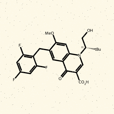 COc1cc2c(cc1Cc1c(F)cc(F)cc1F)c(=O)c(C(=O)O)cn2[C@H](CO)C(C)(C)C